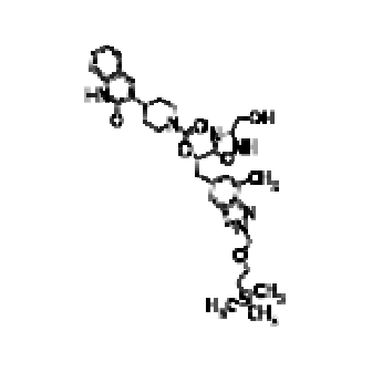 Cc1cc(CC(OC(=O)N2CCC(c3cc4ccccc4[nH]c3=O)CC2)C2=NC(CO)NO2)cc2cn(COCC[Si](C)(C)C)nc12